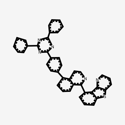 c1ccc(-c2nc(-c3ccccc3)nc(-c3ccc(-c4cccc5c(-c6cccc7sc8cccnc8c67)nccc45)cc3)n2)cc1